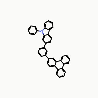 c1ccc(-n2c3ccccc3c3ccc(-c4cccc(-c5ccc6c7ccccc7c7ccccc7c6c5)c4)cc32)cc1